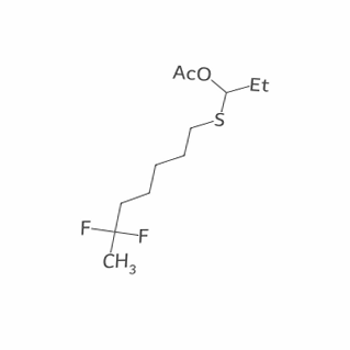 CCC(OC(C)=O)SCCCCCC(C)(F)F